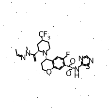 C=C([C@H]1C[C@@H](C(F)(F)F)CCN1[C@H]1CCOc2cc(S(=O)(=O)Nc3ncns3)c(F)cc21)N(C)/N=C\C